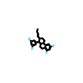 CCC=CC1CCC2c3cc(F)cc(F)c3CCC2C1c1cc(F)cc(F)c1